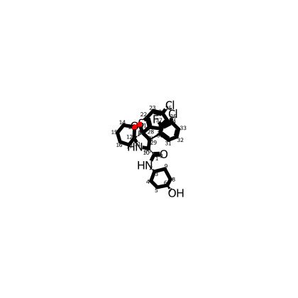 O=C(N[C@H]1CC[C@H](O)CC1)[C@@H]1NC2(CCCCC2)[C@@]2(C(=O)Sc3cc(Cl)ccc32)[C@H]1c1cccc(Cl)c1F